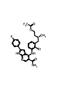 CCc1c(CN(C)CCOC(=O)C(F)(F)F)cccc1Nc1c(C(N)=O)cnc2[nH]c(-c3ccc(F)cc3)cc12